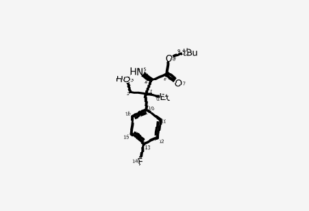 CCC(CO)(C(=N)C(=O)OC(C)(C)C)c1ccc(F)cc1